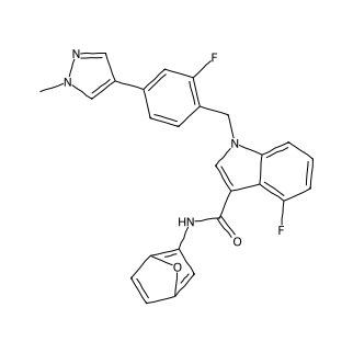 Cn1cc(-c2ccc(Cn3cc(C(=O)Nc4cc5ccc4o5)c4c(F)cccc43)c(F)c2)cn1